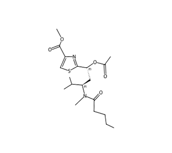 CCCCC(=O)N(C)[C@H](C[C@@H](OC(C)=O)c1nc(C(=O)OC)cs1)C(C)C